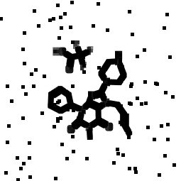 CC#CCn1c(N2CCNCC2)nc2c1c(=O)n(C)c(=O)n2C1CC=CCC1.O=C(O)C(F)(F)F